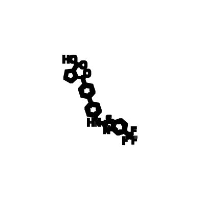 O=C(O)C1CCC[C@H]1C(=O)c1ccc(-c2ccc(Nc3nc4cc(C(F)(F)F)ccc4s3)cc2)cc1